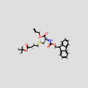 C=CCOC(=O)[C@H](CSCCCC(=O)OC(C)(C)C)NC(=O)OCC1c2ccccc2-c2ccccc21